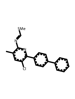 CS/C=N/c1nc(-c2ccc(-c3ccccc3)cc2)c(Cl)cc1C